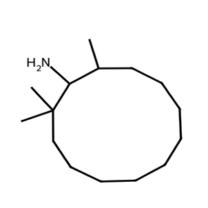 CC1CCCCCCCCCC(C)(C)C1N